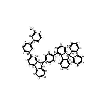 Brc1cccc(-c2cccc(-c3ccc4c5ccccc5n(-c5ccc(-c6cccc7c6-c6ccccc6C7(c6ccccc6)c6ccccc6)cc5)c4c3)c2)c1